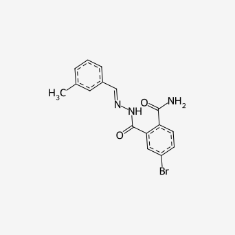 Cc1cccc(C=NNC(=O)c2cc(Br)ccc2C(N)=O)c1